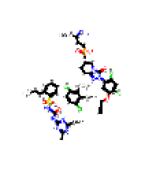 C#CCOc1cc(-n2nc3n(c2=O)CCCC3)c(Cl)cc1Cl.COc1c(Cl)ccc(Cl)c1C(=O)O.COc1nc(C)nc(NC(=O)NS(=O)(=O)c2ccccc2CCC(F)(F)F)n1.CP(=O)(O)CCC(N)C(=O)O